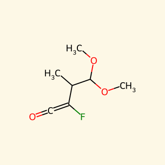 COC(OC)C(C)C(F)=C=O